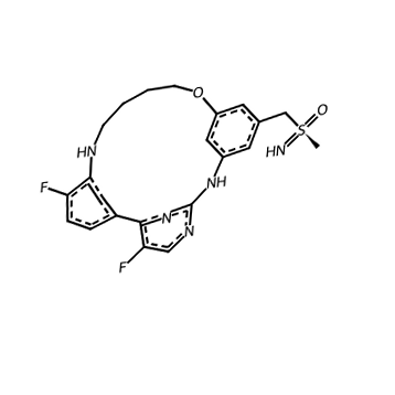 C[S@](=N)(=O)Cc1cc2cc(c1)OCCCCNc1cc(ccc1F)-c1nc(ncc1F)N2